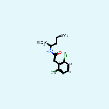 CCOC(=O)C(CCSC)NC(=O)Cc1c(Cl)cccc1Cl